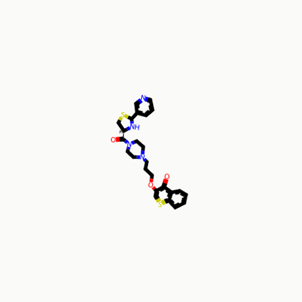 O=C([C@@H]1CSC(c2cccnc2)N1)N1CCN(CCCOc2csc3ccccc3c2=O)CC1